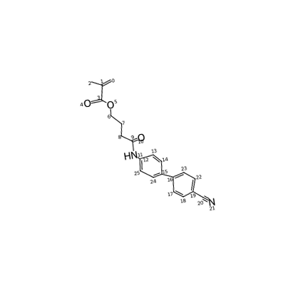 C=C(C)C(=O)OCCCC(=O)Nc1ccc(-c2ccc(C#N)cc2)cc1